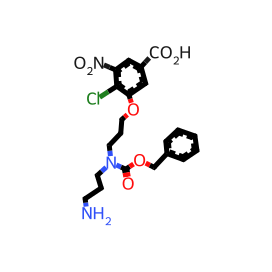 NCCCN(CCCOc1cc(C(=O)O)cc([N+](=O)[O-])c1Cl)C(=O)OCc1ccccc1